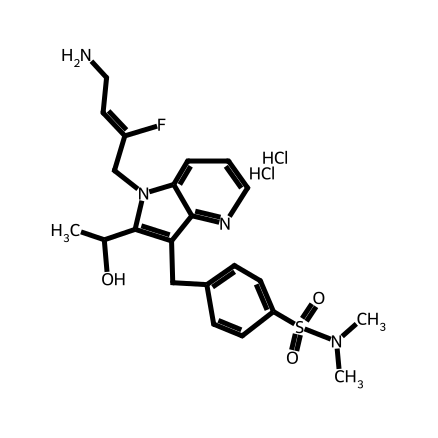 CC(O)c1c(Cc2ccc(S(=O)(=O)N(C)C)cc2)c2ncccc2n1CC(F)=CCN.Cl.Cl